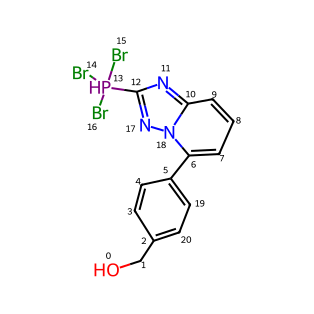 OCc1ccc(-c2cccc3nc([PH](Br)(Br)Br)nn23)cc1